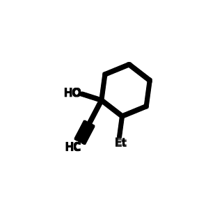 C#CC1(O)CCCCC1CC